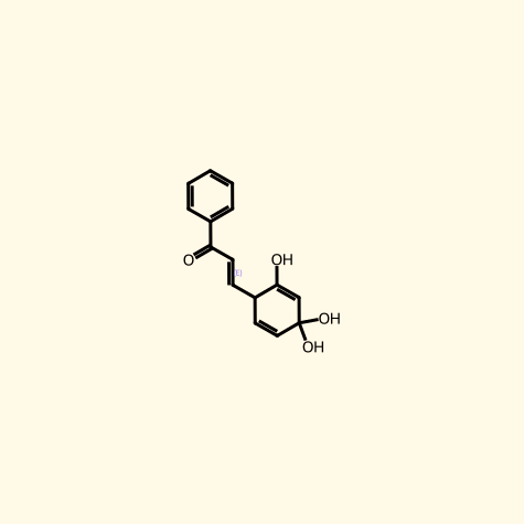 O=C(/C=C/C1C=CC(O)(O)C=C1O)c1ccccc1